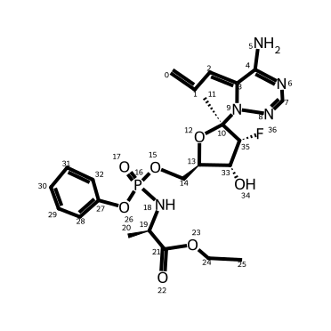 C=C/C=C1/C(N)=NC=NN1[C@]1(C)O[C@H](COP(=O)(N[C@H](C)C(=O)OCC)Oc2ccccc2)[C@@H](O)[C@H]1F